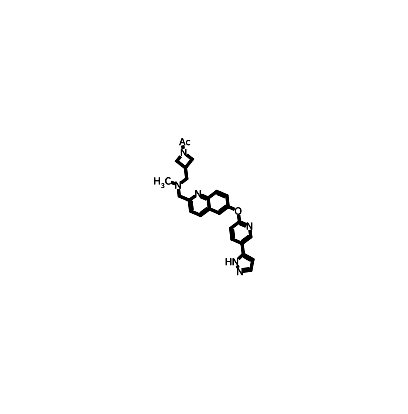 CC(=O)N1CC(CN(C)Cc2ccc3cc(Oc4ccc(-c5ccn[nH]5)cn4)ccc3n2)C1